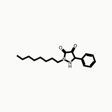 CCCCCCCCN1NC(c2ccccc2)C(=O)C1=O